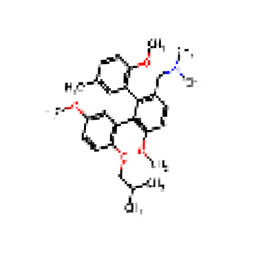 COc1ccc(OCC(C)C)c(-c2c(OC)[c]cc(CN(C)C)c2-c2cc(C)ccc2OC)c1